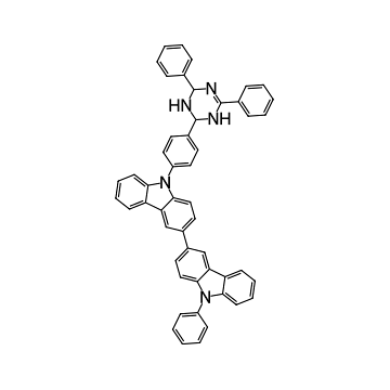 c1ccc(C2=NC(c3ccccc3)NC(c3ccc(-n4c5ccccc5c5cc(-c6ccc7c(c6)c6ccccc6n7-c6ccccc6)ccc54)cc3)N2)cc1